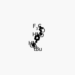 CC(C)(C)OC(=O)NCc1ccc(NC(=O)C2CC(C(F)(F)F)CO2)cc1